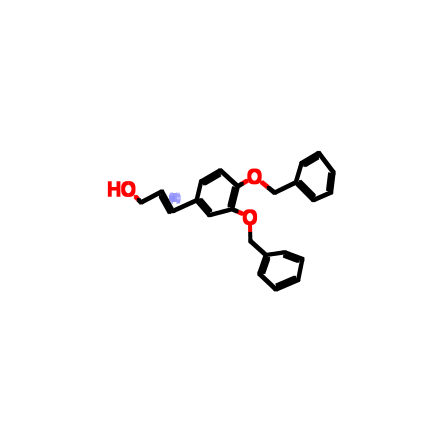 OC/C=C/c1ccc(OCc2ccccc2)c(OCc2ccccc2)c1